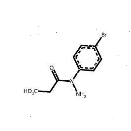 NN(C(=O)CC(=O)O)c1ccc(Br)cc1